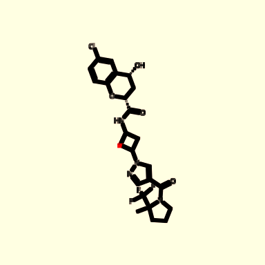 CC1(C(F)(F)F)CCCN1C(=O)c1cnn(C23CC(NC(=O)[C@H]4C[C@@H](O)c5cc(Cl)ccc5O4)(C2)C3)c1